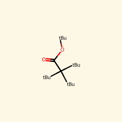 CC(C)(C)OC(=O)C(C(C)(C)C)(C(C)(C)C)C(C)(C)C